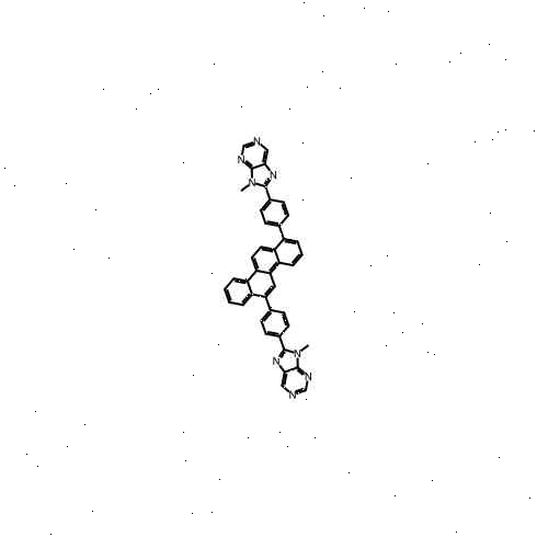 Cn1c(-c2ccc(-c3cc4c5cccc(-c6ccc(-c7nc8cncnc8n7C)cc6)c5ccc4c4ccccc34)cc2)nc2cncnc21